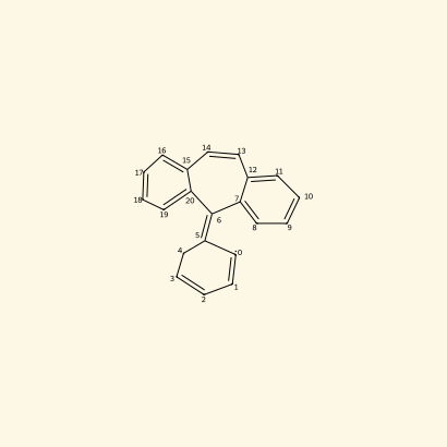 [C]1=CC=CCC1=C1c2ccccc2C=Cc2ccccc21